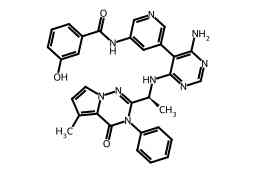 Cc1ccn2nc([C@H](C)Nc3ncnc(N)c3-c3cncc(NC(=O)c4cccc(O)c4)c3)n(-c3ccccc3)c(=O)c12